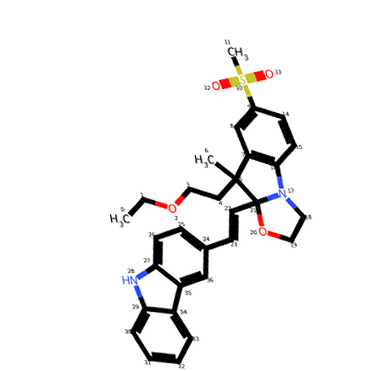 CCOCCC1(C)c2cc(S(C)(=O)=O)ccc2N2CCOC21/C=C/c1ccc2[nH]c3ccccc3c2c1